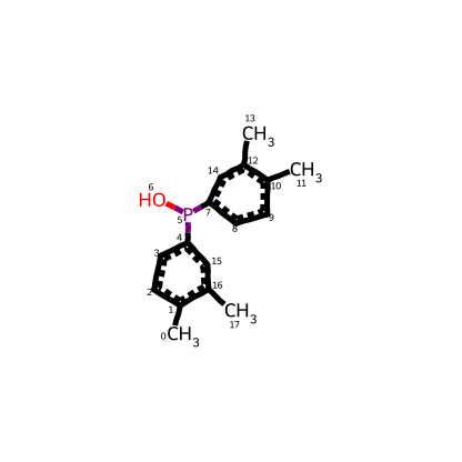 Cc1ccc(P(O)c2ccc(C)c(C)c2)cc1C